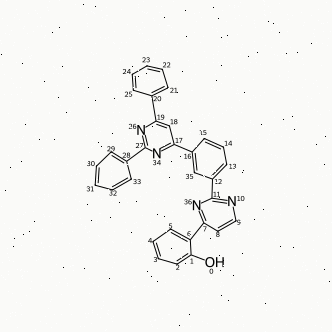 Oc1ccccc1-c1ccnc(-c2cccc(-c3cc(-c4ccccc4)nc(-c4ccccc4)n3)c2)n1